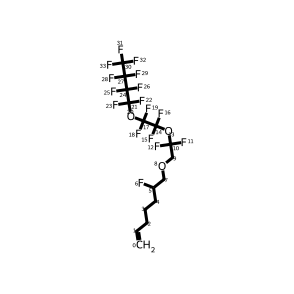 C=CCCCC(F)COCC(F)(F)OC(F)(F)C(F)(F)OC(F)(F)C(F)(F)C(F)(F)C(F)(F)F